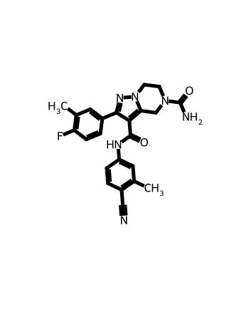 Cc1cc(-c2nn3c(c2C(=O)Nc2ccc(C#N)c(C)c2)CN(C(N)=O)CC3)ccc1F